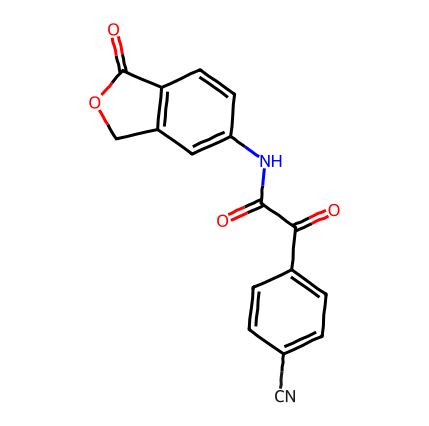 N#Cc1ccc(C(=O)C(=O)Nc2ccc3c(c2)COC3=O)cc1